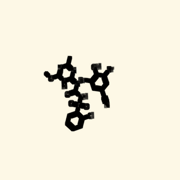 COc1nc(C)nc(=NC(=O)NS(=O)(=O)c2ccccc2Cl)[nH]1.N#Cc1cc(Br)c(O)c(Br)c1